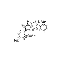 CNC1(c2ccccc2)CCC2(CC1)CN(c1ccc(C#N)cc1OC)C(=O)N2